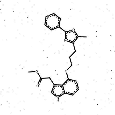 COC(=O)Cc1c[nH]c2cccc(OCCCc3nc(-c4ccccc4)oc3C)c12